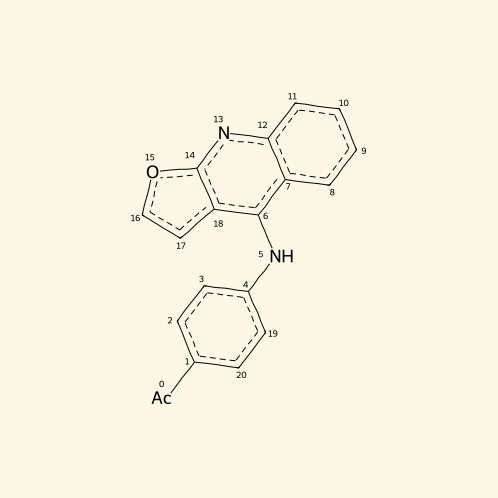 CC(=O)c1ccc(Nc2c3ccccc3nc3occc23)cc1